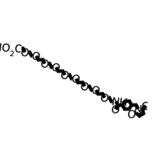 O=C(O)COCCOCCOCCOCCOCCOCCOCCOCCOCCNC(=O)C1CCC(CN2C(=O)C=CC2=O)CC1